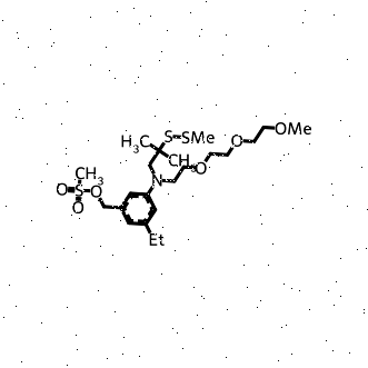 CCc1cc(COS(C)(=O)=O)cc(N(CCOCCOCCOC)CC(C)(C)SSC)c1